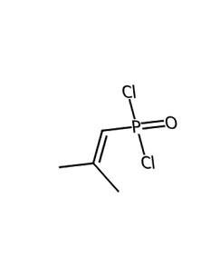 CC(C)=CP(=O)(Cl)Cl